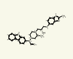 Cc1nc2cc(OC[C@H](O)CN3CCN(N(C=O)c4ccc5c(c4)oc4ccccc45)C[C@@H]3C)ccc2s1